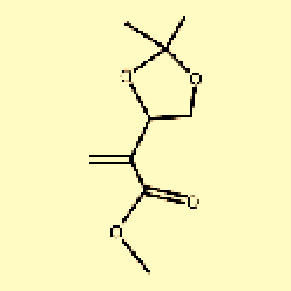 C=C(C(=O)OC)C1COC(C)(C)O1